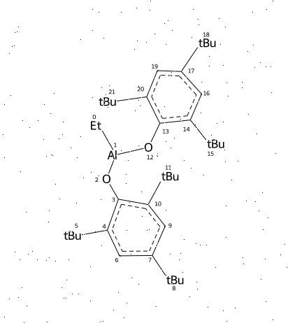 C[CH2][Al]([O]c1c(C(C)(C)C)cc(C(C)(C)C)cc1C(C)(C)C)[O]c1c(C(C)(C)C)cc(C(C)(C)C)cc1C(C)(C)C